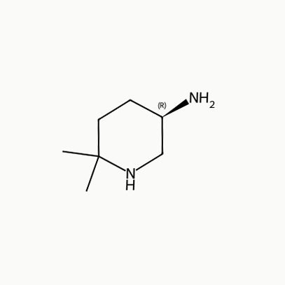 CC1(C)CC[C@@H](N)CN1